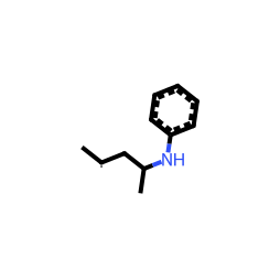 C[CH]CC(C)Nc1ccccc1